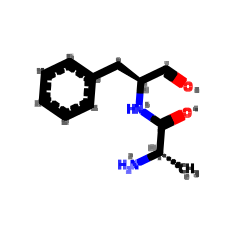 C[C@H](N)C(=O)N[C@H]([C]=O)Cc1ccccc1